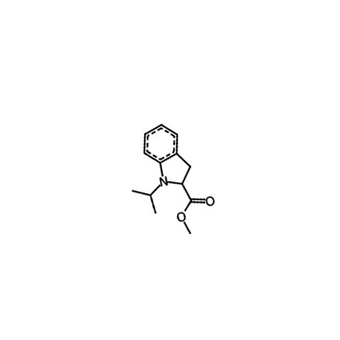 COC(=O)C1Cc2ccccc2N1C(C)C